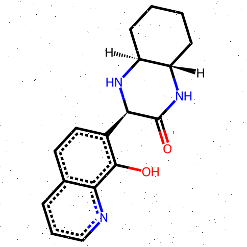 O=C1N[C@H]2CCCC[C@@H]2N[C@@H]1c1ccc2cccnc2c1O